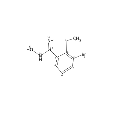 CCc1c(Br)cccc1C(=N)NO